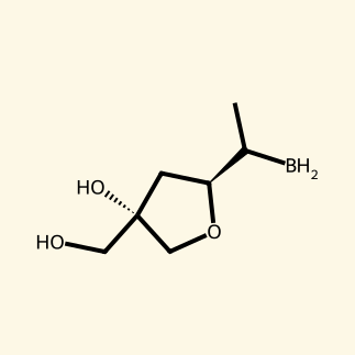 BC(C)[C@@H]1C[C@](O)(CO)CO1